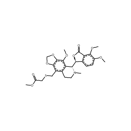 COC(=O)CSCc1c2c(c(OC)c3c1OCO3)[C@H]([C@H]1OC(=O)c3c1ccc(OC)c3OC)N(C)CC2